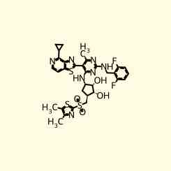 Cc1nc(S(=O)(=O)C[C@H]2C[C@@H](Nc3nc(NCc4c(F)cccc4F)nc(C)c3-c3nc4c(C5CC5)nccc4s3)[C@H](O)[C@@H]2O)sc1C